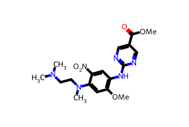 COC(=O)c1cnc(Nc2cc([N+](=O)[O-])c(N(C)CCN(C)C)cc2OC)nc1